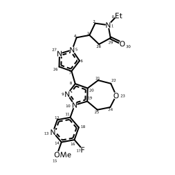 CCN1CC(Cn2cc(-c3nn(-c4cnc(OC)c(F)c4)c4c3CCOCC4)cn2)CC1=O